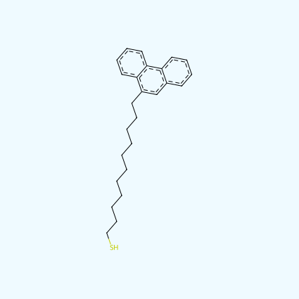 SCCCCCCCCCCCc1cc2ccccc2c2ccccc12